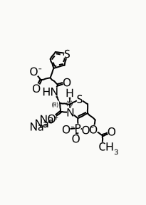 CC(=O)OCC1=C(P(=O)([O-])[O-])N2C(=O)[C@@H](NC(=O)C(C(=O)[O-])c3ccsc3)[C@@H]2SC1.[Na+].[Na+].[Na+]